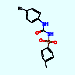 CCc1ccc(NC(=O)NS(=O)(=O)c2ccc(C)cc2)cc1